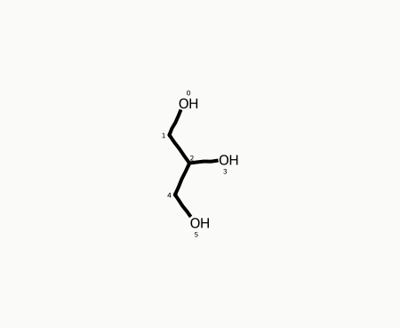 OC[C](O)CO